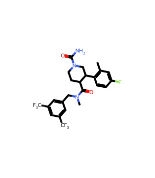 Cc1cc(F)ccc1C1CN(C(N)=O)CCC1C(=O)N(C)Cc1cc(C(F)(F)F)cc(C(F)(F)F)c1